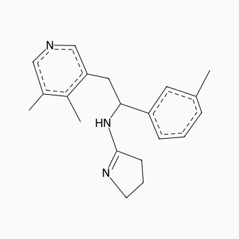 Cc1cccc(C(Cc2cncc(C)c2C)NC2=NCCC2)c1